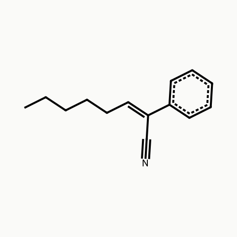 CCCCCC=C(C#N)c1ccccc1